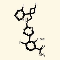 COc1c(C(N)=O)ccc(F)c1-c1cnc(NCC2(c3ncccc3F)CC(F)C2)nc1